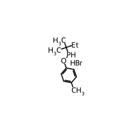 Br.CCC(C)(C)POc1ccc(C)cc1